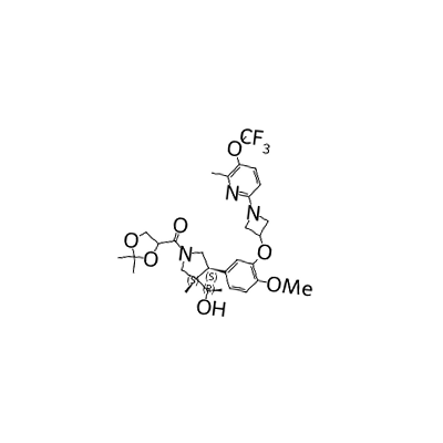 COc1ccc([C@@H]2CN(C(=O)C3COC(C)(C)O3)C[C@@]2(C)[C@@H](C)O)cc1OC1CN(c2ccc(OC(F)(F)F)c(C)n2)C1